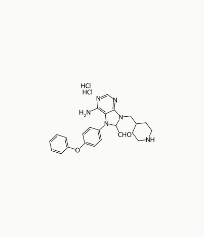 Cl.Cl.Nc1ncnc2c1N(c1ccc(Oc3ccccc3)cc1)C(C=O)N2CC1CCNCC1